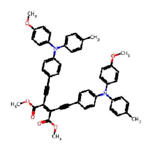 COC(=O)/C(C#Cc1ccc(N(c2ccc(C)cc2)c2ccc(OC)cc2)cc1)=C(/C#Cc1ccc(N(c2ccc(C)cc2)c2ccc(OC)cc2)cc1)C(=O)OC